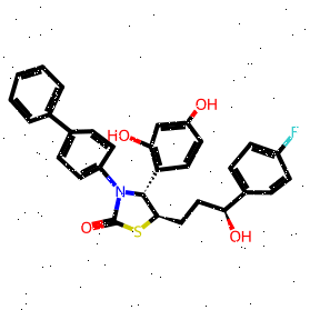 O=C1S[C@H](CC[C@H](O)c2ccc(F)cc2)[C@@H](c2ccc(O)cc2O)N1c1ccc(-c2ccccc2)cc1